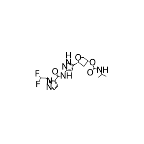 CC(C)NC(=O)O[C@@H]1CO[C@H](c2cc(NC(=O)c3ccnn3CC(F)F)n[nH]2)C1